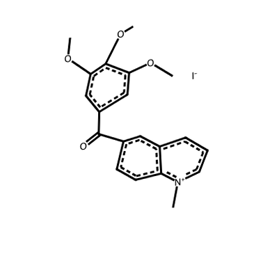 COc1cc(C(=O)c2ccc3c(ccc[n+]3C)c2)cc(OC)c1OC.[I-]